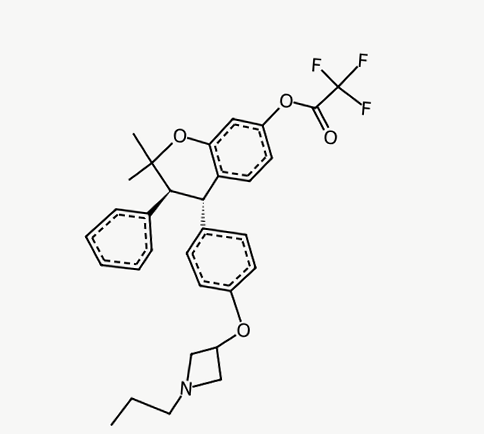 CCCN1CC(Oc2ccc([C@H]3c4ccc(OC(=O)C(F)(F)F)cc4OC(C)(C)[C@@H]3c3ccccc3)cc2)C1